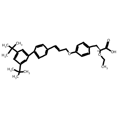 CCO[C@@H](Cc1ccc(OCC=Cc2ccc(-c3cc(C(C)(C)C)cc(C(C)(C)C)c3)cc2)cc1)C(=O)O